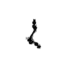 Cc1ncsc1-c1ccc(CNC(=O)[C@@H]2CCCN2C(=O)C(NC(=O)COCCCCCOc2ccc3nc(-c4ccc(N(C)C)cc4)ccc3c2)C(C)(C)C)cc1